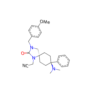 COc1ccc(CN2C[C@]3(CC[C@](c4ccccc4)(N(C)C)CC3)N(CC#N)C2=O)cc1